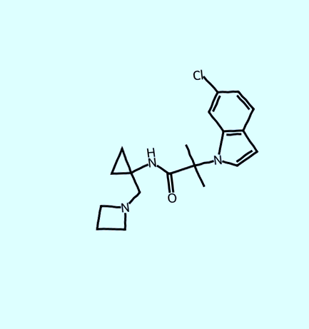 CC(C)(C(=O)NC1(CN2CCC2)CC1)n1ccc2ccc(Cl)cc21